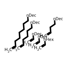 C=CCCCCCC.C=CCCCCCCCC.C=CCCCCCCCCCC.C=CCCCCCCCCCCCC.C=CCCCCCCCCCCCCCC.C=CCCCCCCCCCCCCCCCC